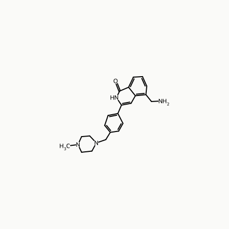 CN1CCN(Cc2ccc(-c3cc4c(CN)cccc4c(=O)[nH]3)cc2)CC1